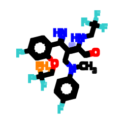 CN(C/C(C(=N)c1ccc(F)cc1OCC(F)(F)P)=C(\C=O)NCC(F)(F)F)c1ccc(F)cc1